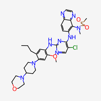 CCCc1cc(Nc2ncc(Cl)c(Nc3ccc4nccnc4c3N(C)S(C)(=O)=O)n2)c(OC)cc1N1CCC(N2CCOCC2)CC1